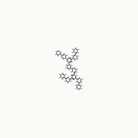 c1ccc(-c2ccc(-c3cc(-c4cccc(-c5cccc(-c6cc(-c7cccc(-c8ccccc8)c7)nc(-c7cccc(-c8ccccc8)c7)n6)c5)c4)nc(-c4cccc(-c5ccccc5)c4)n3)cc2)cc1